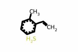 C=Cc1ccccc1C.S